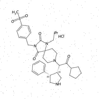 CC(C)CN1C(=O)N(Cc2ccc(S(C)(=O)=O)cc2)C(=O)C12CCN(C(C(=O)C1CCCC1)[C@@H]1CNC[C@@H]1c1ccccc1)CC2.Cl